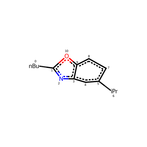 CCCCc1nc2cc(C(C)C)ccc2o1